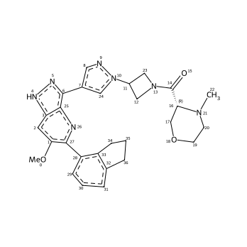 COc1cc2[nH]nc(-c3cnn(C4CN(C(=O)[C@H]5COCCN5C)C4)c3)c2nc1-c1cccc2c1CCC2